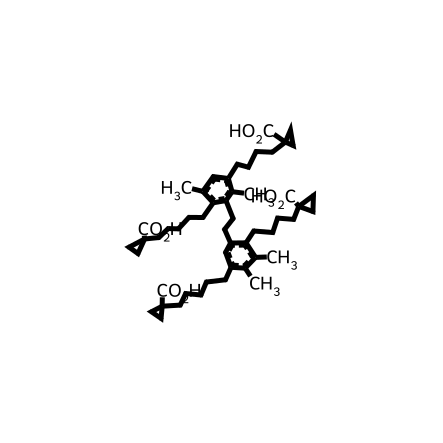 Cc1cc(CCCCC2(C(=O)O)CC2)c(C)c(CCc2cc(CCCCCC3(C(=O)O)CC3)c(C)c(C)c2CCCCC2(C(=O)O)CC2)c1CCCCCC1(C(=O)O)CC1